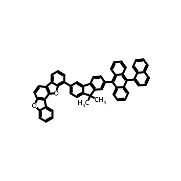 CC1(C)c2ccc(-c3cccc4c3oc3c4ccc4oc5ccccc5c43)cc2-c2ccc(-c3c4ccccc4c(-c4cccc5ccccc45)c4ccccc34)cc21